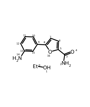 CCO.NC(=O)c1ccc(-c2cccc(N)c2)o1